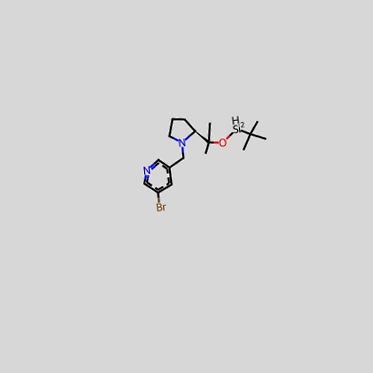 CC(C)(C)[SiH2]OC(C)(C)[C@@H]1CCCN1Cc1cncc(Br)c1